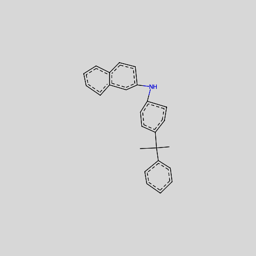 CC(C)(c1ccccc1)c1ccc(Nc2ccc3ccccc3c2)cc1